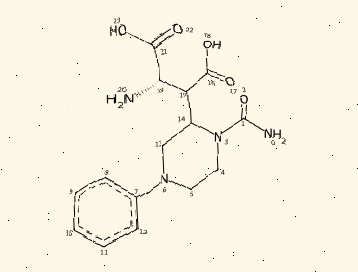 NC(=O)N1CCN(c2ccccc2)CC1C(C(=O)O)[C@H](N)C(=O)O